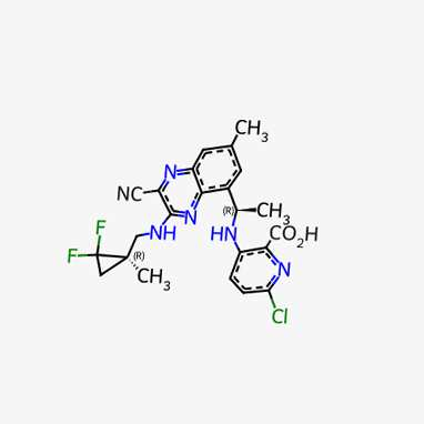 Cc1cc([C@@H](C)Nc2ccc(Cl)nc2C(=O)O)c2nc(NC[C@@]3(C)CC3(F)F)c(C#N)nc2c1